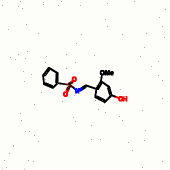 COc1cc(O)ccc1C=NS(=O)(=O)c1ccccc1